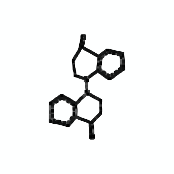 O=C1CCN(N2CCC(=O)c3ccccc32)c2ccccc21